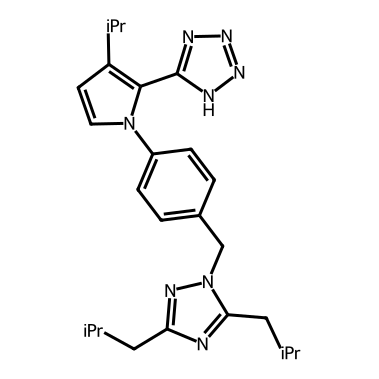 CC(C)Cc1nc(CC(C)C)n(Cc2ccc(-n3ccc(C(C)C)c3-c3nnn[nH]3)cc2)n1